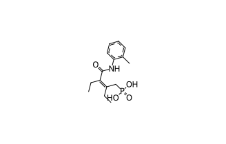 CCC(CP(=O)(O)O)=C(CC)C(=O)Nc1ccccc1C